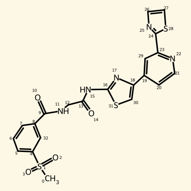 CS(=O)(=O)c1cccc(C(=O)NCC(=O)Nc2nc(-c3ccnc(-c4nccs4)c3)cs2)c1